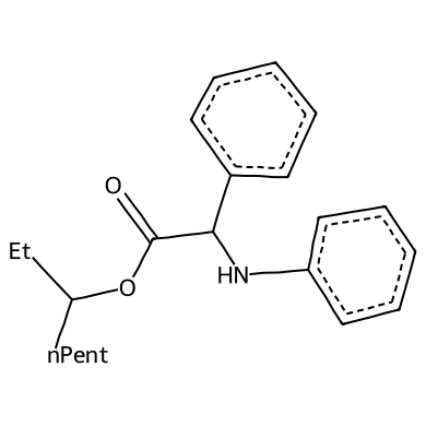 CCCCCC(CC)OC(=O)C(Nc1ccccc1)c1ccccc1